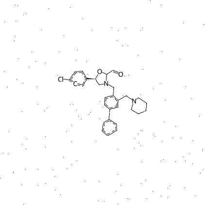 O=CC1O[C@H](c2ccc(Cl)cc2)CN1Cc1ccc(-c2ccccc2)cc1CN1CCCCC1